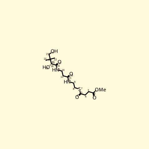 COC(=O)CCC(=O)SCCNC(=O)CCNC(=O)[C@H](O)C(C)(C)CO